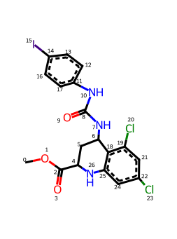 COC(=O)C1CC(NC(=O)Nc2ccc(I)cc2)c2c(Cl)cc(Cl)cc2N1